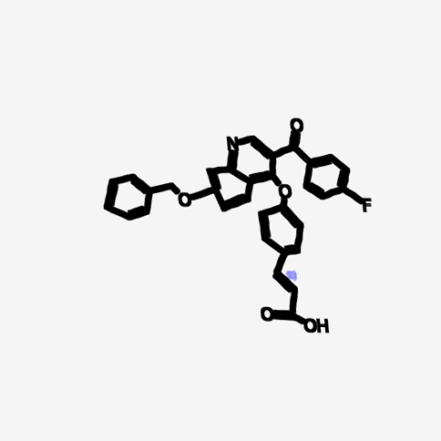 O=C(O)/C=C/c1ccc(Oc2c(C(=O)c3ccc(F)cc3)cnc3cc(OCc4ccccc4)ccc23)cc1